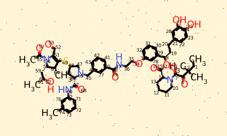 CCC(C)(C)C(=O)C(=O)N1CCCC[C@H]1C(=O)O[C@H](CCc1ccc(O)c(O)c1)c1cccc(OCCNC(=O)c2cccc(CN3C[C@@H](SC4=C(C=O)N(C(C)=O)[C@@H](C[C@@H](C)O)[C@H]4C)C[C@H]3C(=O)Nc3cccc(C)c3)c2)c1